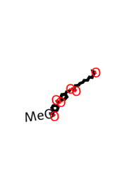 COC(=O)[C@H]1CC[C@H](C(=O)Oc2ccc(CCOC(=O)CCCCCCCCC3CO3)cc2)CC1